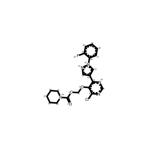 O=C(OCOc1c(Cl)ncnc1-c1cnn(-c2ccccc2F)c1)N1CCCCC1